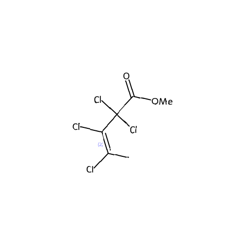 COC(=O)C(Cl)(Cl)/C(Cl)=C(\C)Cl